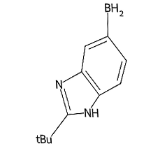 Bc1ccc2[nH]c(C(C)(C)C)nc2c1